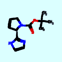 CC(C)(C)OC(=O)N1CC=C[C@H]1c1ncc[nH]1